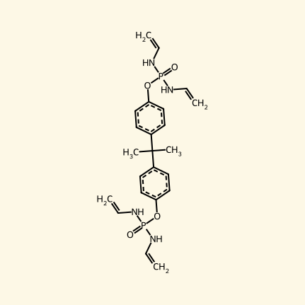 C=CNP(=O)(NC=C)Oc1ccc(C(C)(C)c2ccc(OP(=O)(NC=C)NC=C)cc2)cc1